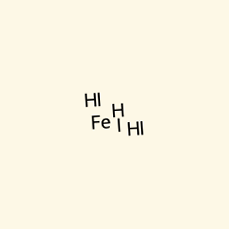 I.I.I.[Fe]